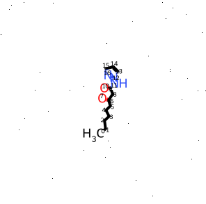 CCCCCCC(=O)CC(=O)Nn1cccn1